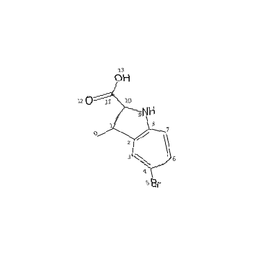 CC1c2cc(Br)ccc2NC1C(=O)O